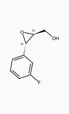 OC[C@@H]1O[C@H]1c1cccc(F)c1